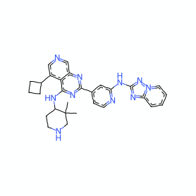 CC1(C)CNCCC1Nc1nc(-c2ccnc(Nc3nc4ccccn4n3)c2)nc2cncc(C3CCC3)c12